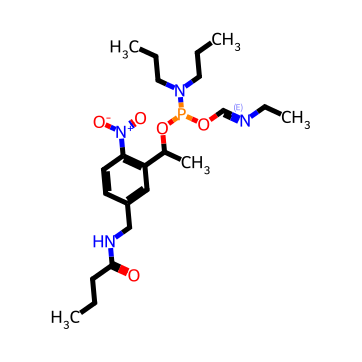 CCCC(=O)NCc1ccc([N+](=O)[O-])c(C(C)OP(O/C=N/CC)N(CCC)CCC)c1